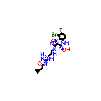 N/C(=N\C(=O)CC1CC1)NCCCNc1nonc1/C(=N/O)Nc1ccc(F)c(Br)c1